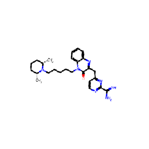 C[C@@H]1CCC[C@H](C)N1CCCCCn1c(=O)c(Cc2ccnc(C(=N)N)n2)nc2ccccc21